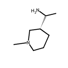 CC(N)[C@@H]1CCCN(C)C1